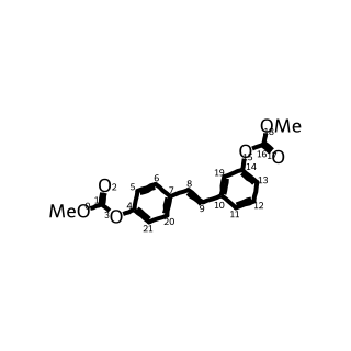 COC(=O)Oc1ccc(/C=C/c2cccc(OC(=O)OC)c2)cc1